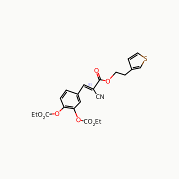 CCOC(=O)Oc1ccc(/C=C(\C#N)C(=O)OCCc2ccsc2)cc1OC(=O)OCC